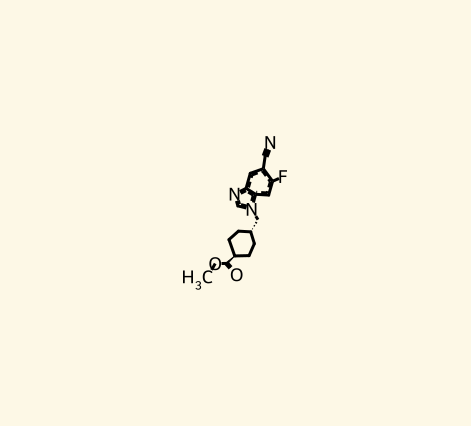 COC(=O)[C@H]1CC[C@H](Cn2cnc3cc(C#N)c(F)cc32)CC1